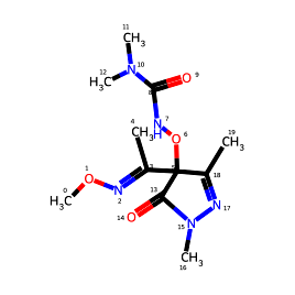 CON=C(C)C1(ONC(=O)N(C)C)C(=O)N(C)N=C1C